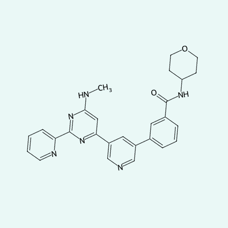 CNc1cc(-c2cncc(-c3cccc(C(=O)NC4CCOCC4)c3)c2)nc(-c2ccccn2)n1